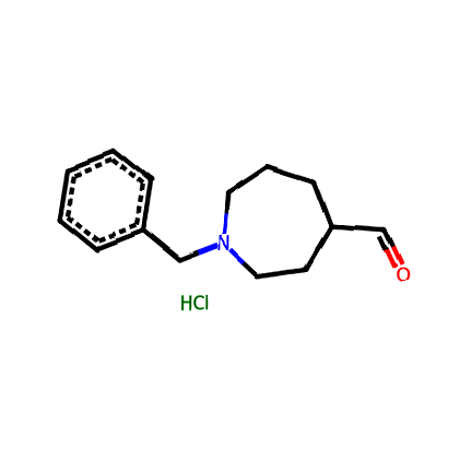 Cl.O=CC1CCCN(Cc2ccccc2)CC1